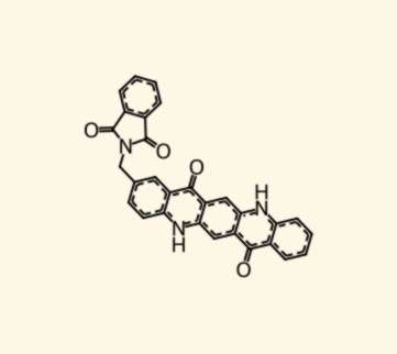 O=C1c2ccccc2C(=O)N1Cc1ccc2[nH]c3cc4c(=O)c5ccccc5[nH]c4cc3c(=O)c2c1